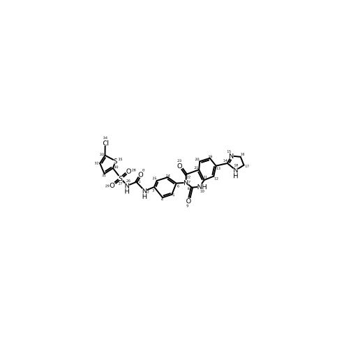 O=C(Nc1ccc(-n2c(=O)[nH]c3cc(C4=NCCN4)ccc3c2=O)cc1)NS(=O)(=O)c1ccc(Cl)s1